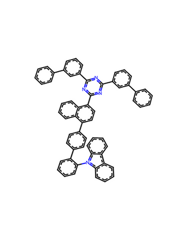 c1ccc(-c2cccc(-c3nc(-c4cccc(-c5ccccc5)c4)nc(-c4ccc(-c5ccc(-c6ccccc6-n6c7ccccc7c7ccccc76)cc5)c5ccccc45)n3)c2)cc1